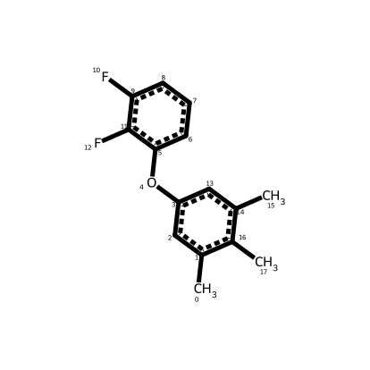 Cc1cc(Oc2cccc(F)c2F)cc(C)c1C